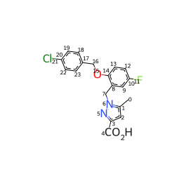 Cc1cc(C(=O)O)nn1Cc1cc(F)ccc1OCc1ccc(Cl)cc1